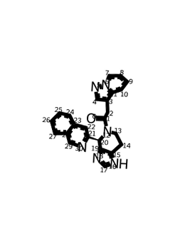 O=C(Cc1cnn2ccccc12)N1CCc2[nH]cnc2[C@H]1c1cc2ccccc2cn1